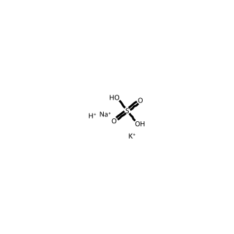 O=S(=O)(O)O.[H+].[K+].[Na+]